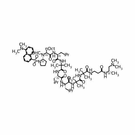 CCCCCCCC[C@@H](C(=O)N[C@@H](CC(C)C)C(=O)NC(C)(C)C(=O)N[C@@H](CC(C)C)C(=O)N[C@@H](CC(C)C)C(=O)NC(C)(C)C(=O)NC(C)(C)C(=O)NCCC(=O)N[C@@H](C)CN(C)C)N(C=O)[C@@H]1CCCN1S(=O)(=O)c1cccc2c(N(C)C)cccc12